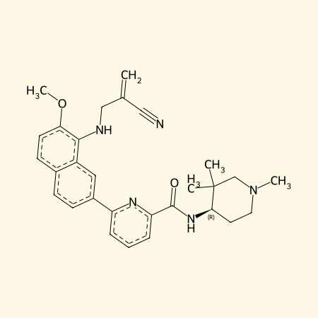 C=C(C#N)CNc1c(OC)ccc2ccc(-c3cccc(C(=O)N[C@@H]4CCN(C)CC4(C)C)n3)cc12